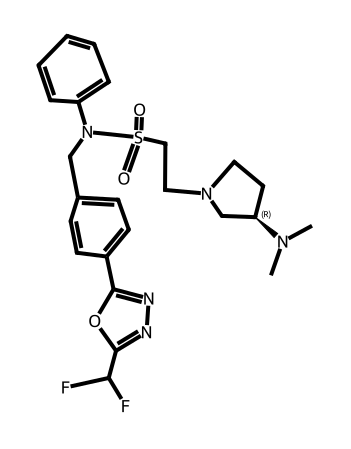 CN(C)[C@@H]1CCN(CCS(=O)(=O)N(Cc2ccc(-c3nnc(C(F)F)o3)cc2)c2ccccc2)C1